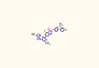 Cc1cc(Nc2cc(C#N)on2)nc(-c2cnc(C(=O)NCc3ccc(-c4ccc(F)nc4C)nc3)c(F)c2)n1